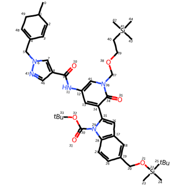 CC1C=CC(Cn2cc(C(=O)Nc3cc(-c4cc5cc(CO[Si](C)(C)C(C)(C)C)ccc5n4C(=O)OC(C)(C)C)c(=O)n(COCC[Si](C)(C)C)c3)cn2)=CC1